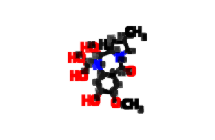 COc1cc2c(cc1O)N(C(O)O)C(O)[C@@H]1C=C(C)CN1C2=O